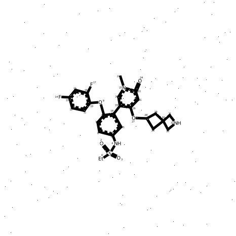 CCS(=O)(=O)Nc1ccc(Oc2ccc(F)cc2F)c(-c2cn(C)c(=O)cc2OC2CC3(CNC3)C2)c1